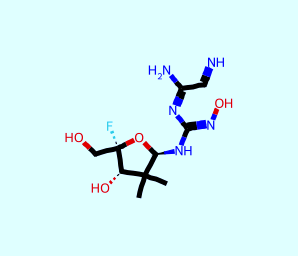 CC1(C)[C@H](NC(=N/O)/N=C(/N)C=N)O[C@](F)(CO)[C@H]1O